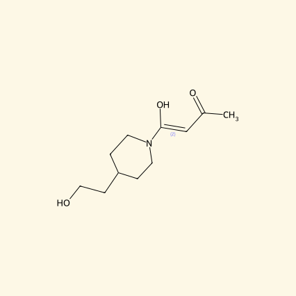 CC(=O)/C=C(\O)N1CCC(CCO)CC1